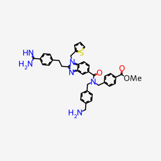 COC(=O)c1ccc(CN(Cc2ccc(CN)cc2)C(=O)c2ccc3c(c2)nc(CCc2ccc(C(=N)N)cc2)n3Cc2cccs2)cc1